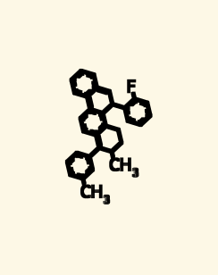 Cc1cccc(C2=c3ccc4c(c3CCC2C)C(c2ccccc2F)C=c2ccccc2=4)c1